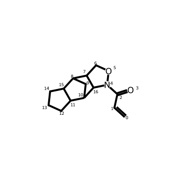 C=CC(=O)N1OCC2C3CC(C4CCCC34)C21